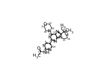 CC(=O)Nc1ncc(-c2nc(N3CCOCC3)c3nc4n(c3n2)CCOC4(C)C)cn1